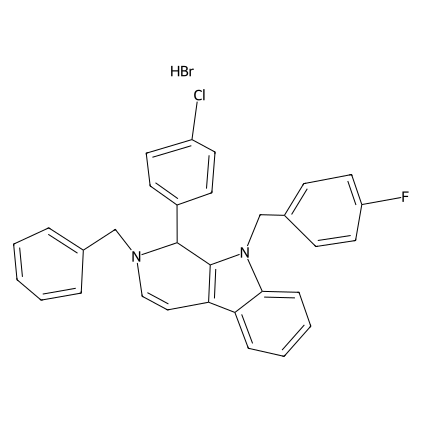 Br.Fc1ccc(Cn2c3c(c4ccccc42)C=CN(Cc2ccccc2)C3c2ccc(Cl)cc2)cc1